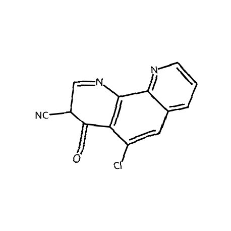 N#CC1C=Nc2c(c(Cl)cc3cccnc23)C1=O